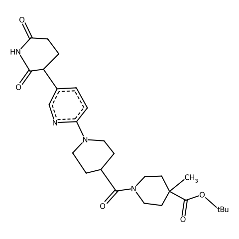 CC(C)(C)OC(=O)C1(C)CCN(C(=O)C2CCN(c3ccc(C4CCC(=O)NC4=O)cn3)CC2)CC1